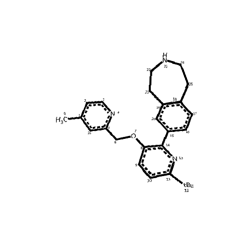 Cc1ccnc(COc2ccc(C(C)(C)C)nc2-c2ccc3c(c2)CCNCC3)c1